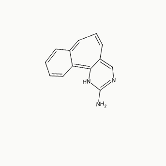 NC1=NC=C2C=CC=c3ccccc3=C2N1